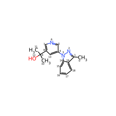 Cc1nn(-c2cncc(C(C)(C)O)c2)c2ccccc12